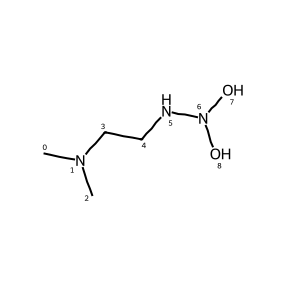 CN(C)CCNN(O)O